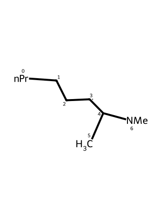 CCCCC[CH]C(C)NC